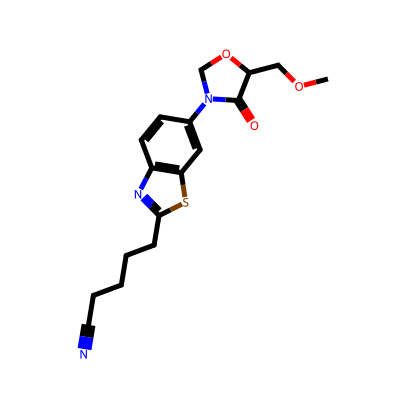 COCC1OCN(c2ccc3nc(CCCCC#N)sc3c2)C1=O